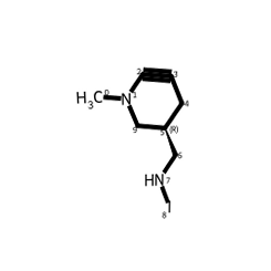 CN1C#CC[C@@H](CNI)C1